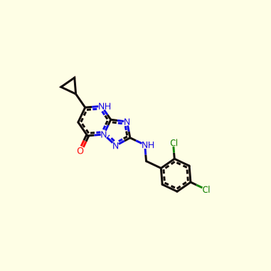 O=c1cc(C2CC2)[nH]c2nc(NCc3ccc(Cl)cc3Cl)nn12